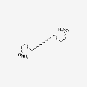 NC(=O)CCC/C=C\C/C=C\C/C=C\C/C=C\CCCCCCCCCCCCCC/C=C\C/C=C\C/C=C\C/C=C\CCCC(N)=O